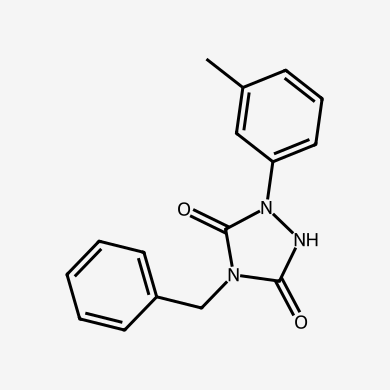 Cc1cccc(-n2[nH]c(=O)n(Cc3ccccc3)c2=O)c1